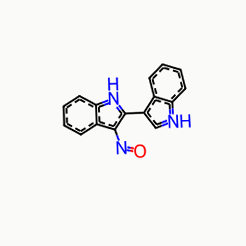 O=Nc1c(-c2c[nH]c3ccccc23)[nH]c2ccccc12